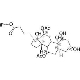 CC(=O)O[C@H]1CC2C([C@H](OC(C)=O)C[C@@H]3C[C@H](O)C[C@@H](O)[C@]23C)[C@@H]2CC[C@H](CCCC(=O)OC(C)C)[C@@]12C